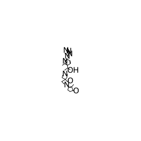 CC1=C(N2CCC3(CCN(CC(O)c4ccc(-n5cnnn5)nc4C)CC3)C2=O)CCC1=O